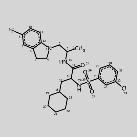 CC(CN1CCc2cc(F)ccc21)NC(=O)C(CC1CCCCC1)NS(=O)(=O)c1cccc(Cl)c1